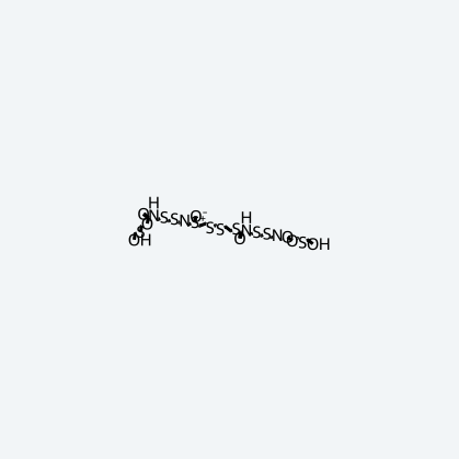 O=C(NCSCSC/N=C/[S+]([O-])CCSCSCCSC(=O)NCSCSC/N=C/OOCSCO)OCSCO